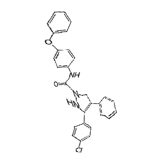 O=C(Nc1ccc(Oc2ccccc2)cc1)N1CC(c2ccccc2)=C(c2ccc(Cl)cc2)N1